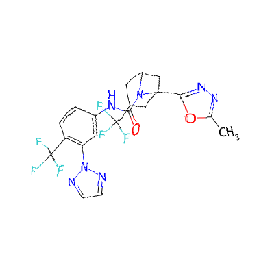 Cc1nnc(C23CC(CC(C(F)(F)F)C2)N3C(=O)Nc2ccc(C(F)(F)F)c(-n3nccn3)c2)o1